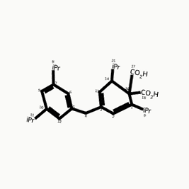 CC(C)C1=CC(Cc2cc(C(C)C)cc(C(C)C)c2)=CC(C(C)C)C1(C(=O)O)C(=O)O